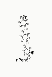 CCCCCOc1ccc(CCC2=CCC(CC[C@H]3CC[C@H](CCC)CC3)CC2)cc1F